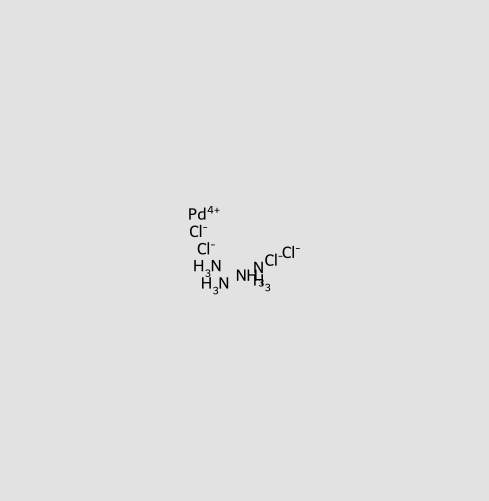 N.N.N.N.[Cl-].[Cl-].[Cl-].[Cl-].[Pd+4]